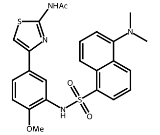 COc1ccc(-c2csc(NC(C)=O)n2)cc1NS(=O)(=O)c1cccc2c(N(C)C)cccc12